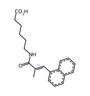 C/C(=C\c1cccc2ccccc12)C(=O)NCCCCCC(=O)O